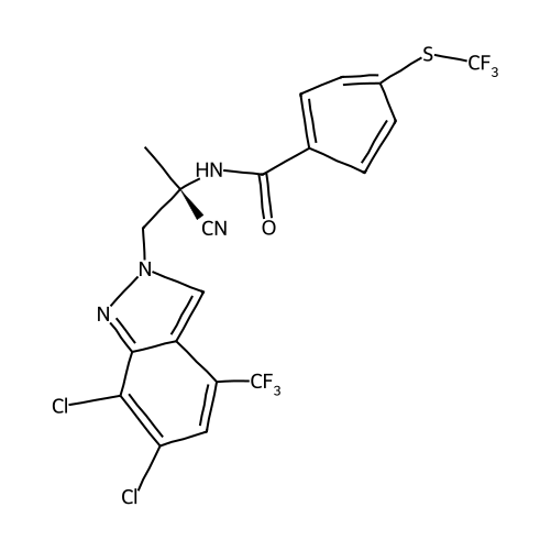 C[C@@](C#N)(Cn1cc2c(C(F)(F)F)cc(Cl)c(Cl)c2n1)NC(=O)c1ccc(SC(F)(F)F)cc1